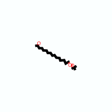 CC(=O)CCCCCCCCCCCCCCOOC(C)(C)C